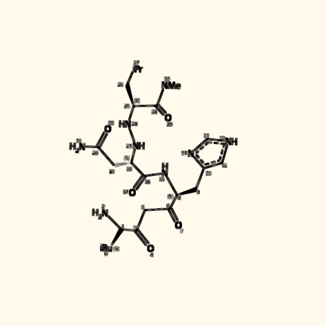 CC[C@H](C)C(N)C(=O)CC(=O)[C@H](Cc1c[nH]cn1)NC(=O)[C@H](CC(N)=O)NN[C@@H](CC(C)C)C(=O)NC